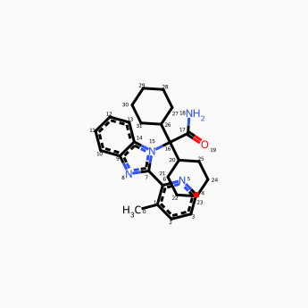 Cc1cccnc1-c1nc2ccccc2n1C(C(N)=O)(C1CCCCC1)C1CCCCC1